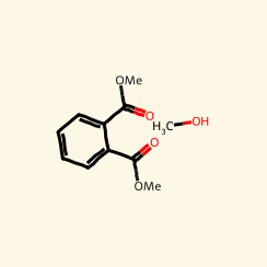 CO.COC(=O)c1ccccc1C(=O)OC